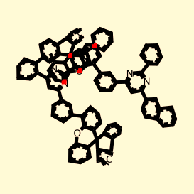 CC1C=CC=C2Oc3c(-c4cccc(-c5cc(-c6ccc7ccccc7c6)nc(-c6ccccc6)n5)c4)cccc3C3(c4ccccc4-c4ccc(-c5ccccc5-c5cc(-c6cccc(-c7cccc8c7Oc7ccccc7C87c8ccccc8-c8ccccc87)c6)nc(-c6ccc(-c7ccccc7)cc6)n5)cc43)C21